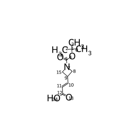 CC(C)(C)OC(=O)N1CC(/C=C/C(=O)O)C1